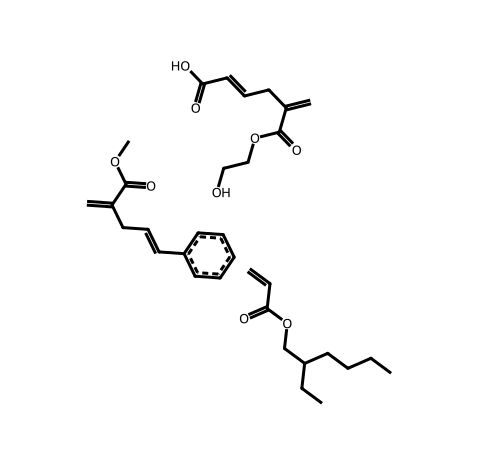 C=C(CC=CC(=O)O)C(=O)OCCO.C=C(CC=Cc1ccccc1)C(=O)OC.C=CC(=O)OCC(CC)CCCC